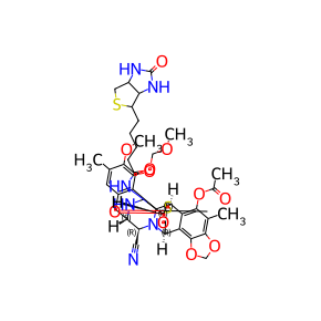 COCOc1c(OC)c(C)cc2c1C1N[C@@H](C2)[C@H](C#N)N2C1[C@@H]1SC[C@H](NC(=O)CCCCC3SCC4NC(=O)NC43)C(=O)OC[C@H]2c2c3c(c(C)c(OC(C)=O)c21)OCO3